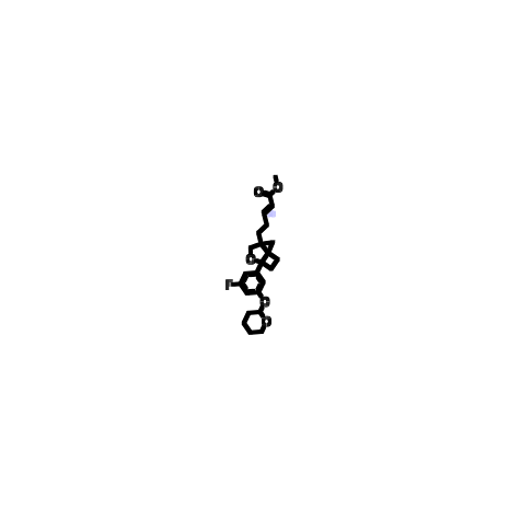 COC(=O)/C=C/CCC12COC3(c4cc(F)cc(OC5CCCCO5)c4)CCC13C2